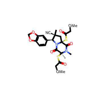 COCC(=O)S[C@@]1(C)C(=O)N2[C@@H](c3ccc4c(c3)OCO4)[C@@](C)(C#N)C[C@]2(SC(=O)COC)C(=O)N1C